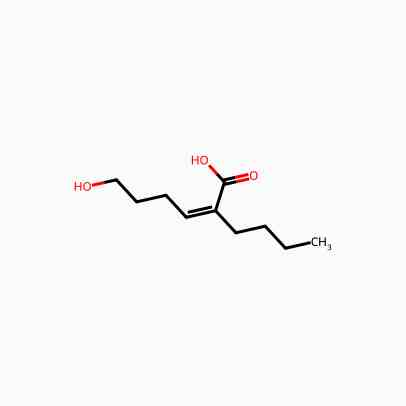 CCCCC(=CCCCO)C(=O)O